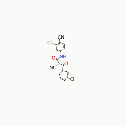 N#Cc1ccc(NC(=O)C(C#N)C(=O)c2cccc(Cl)c2)cc1Cl